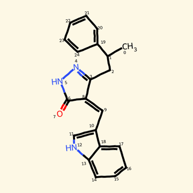 CC(CC1=NNC(=O)/C1=C\c1c[nH]c2ccccc12)c1ccccc1